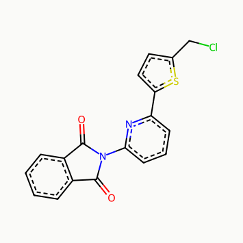 O=C1c2ccccc2C(=O)N1c1cccc(-c2ccc(CCl)s2)n1